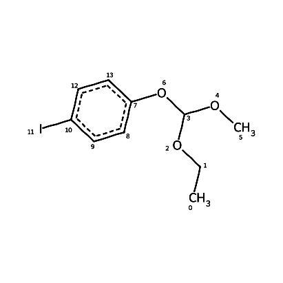 CCOC(OC)Oc1ccc(I)cc1